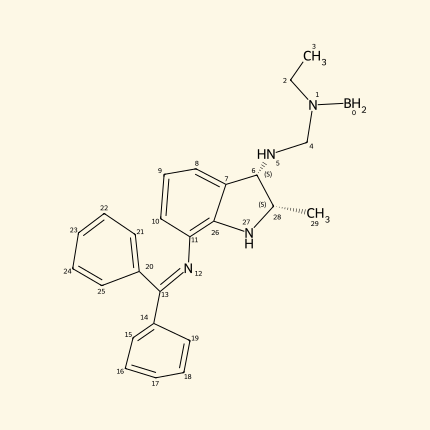 BN(CC)CN[C@H]1c2cccc(N=C(c3ccccc3)c3ccccc3)c2N[C@H]1C